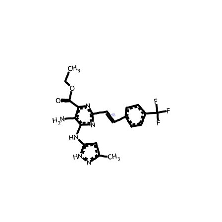 CCOC(=O)c1nc(/C=C/c2ccc(C(F)(F)F)cc2)nc(Nc2cc(C)n[nH]2)c1N